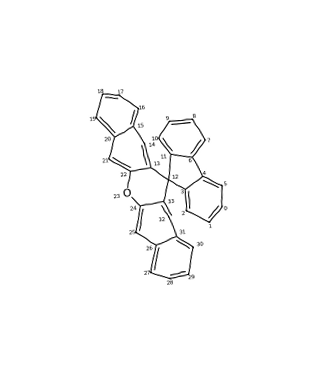 c1ccc2c(c1)-c1ccccc1C21c2cc3ccccc3cc2Oc2cc3ccccc3cc21